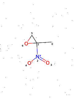 CC1([N+](=O)[O-])CO1